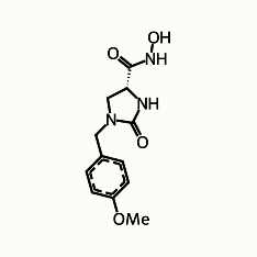 COc1ccc(CN2C[C@H](C(=O)NO)NC2=O)cc1